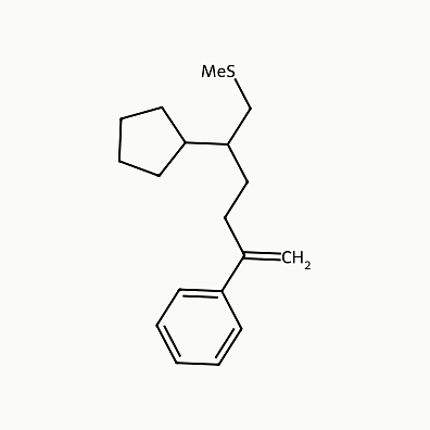 C=C(CCC(CSC)C1CCCC1)c1ccccc1